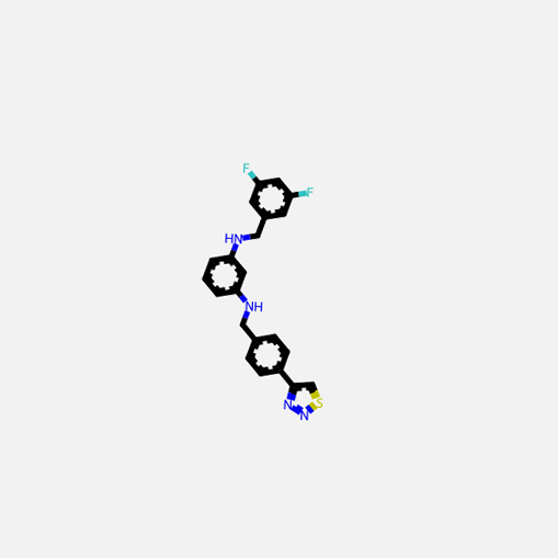 Fc1cc(F)cc(CNc2cccc(NCc3ccc(-c4csnn4)cc3)c2)c1